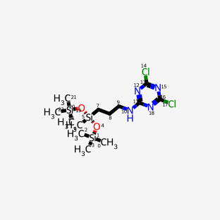 C[Si](C)(C)O[Si](C)(CCCNc1nc(Cl)nc(Cl)n1)O[Si](C)(C)C